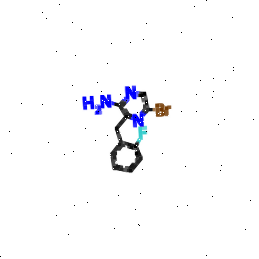 Nc1ncc(Br)nc1Cc1ccccc1F